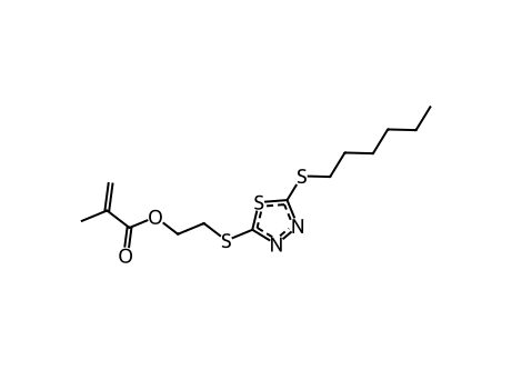 C=C(C)C(=O)OCCSc1nnc(SCCCCCC)s1